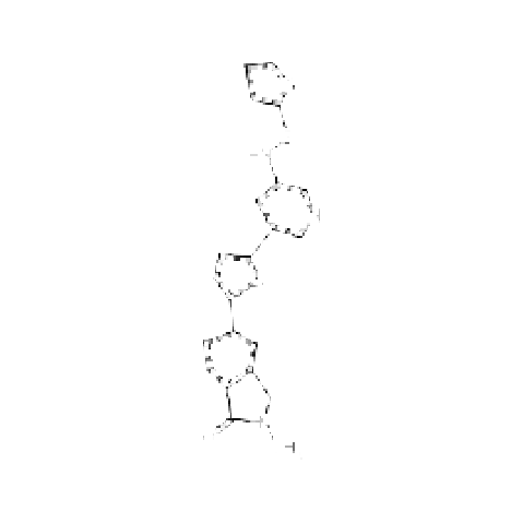 CN1Cc2cc(-c3ccc(-c4cncc(NSc5cccs5)c4)s3)ccc2C1=O